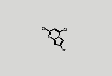 Clc1cc(Cl)n2cc(Br)cc2n1